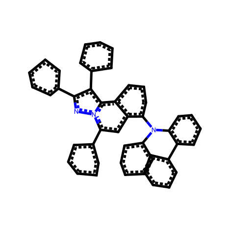 c1ccc(-c2ccccc2N(c2ccccc2)c2cccc3c2cc(-c2ccccc2)n2nc(-c4ccccc4)c(-c4ccccc4)c32)cc1